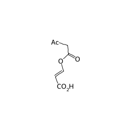 CC(=O)CC(=O)OC=CC(=O)O